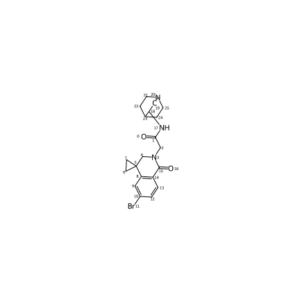 O=C(CN1CC2(CC2)c2cc(Br)ccc2C1=O)NC1CN2CCC1CC2